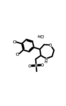 CS(=O)(=O)CC1NCCOCC1c1ccc(Cl)c(Cl)c1.Cl